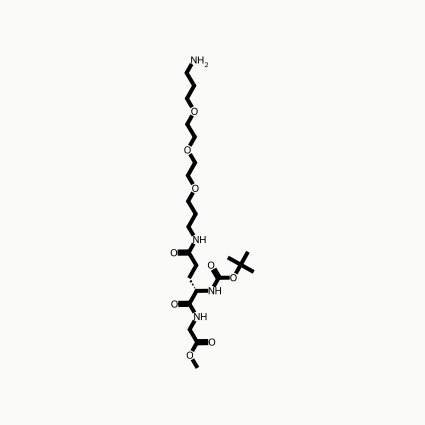 COC(=O)CNC(=O)[C@H](CCC(=O)NCCCOCCOCCOCCCN)NC(=O)OC(C)(C)C